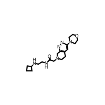 O=C(CN1CCc2cc(N3CCOCC3)nnc2C1)NCCNC1CCC1